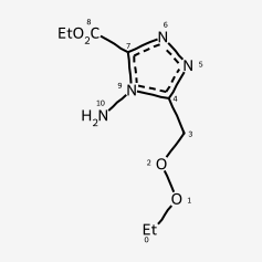 CCOOCc1nnc(C(=O)OCC)n1N